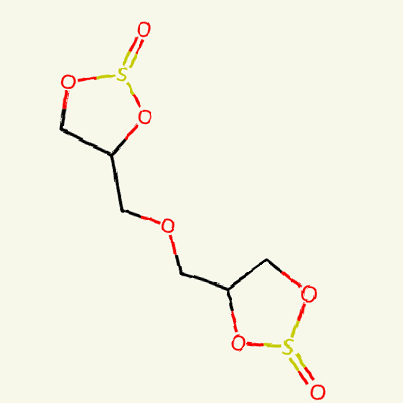 O=S1OCC(COCC2COS(=O)O2)O1